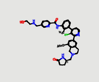 COc1cc(-c2nccc(-c3cccc(NC(=O)c4ccc(CNCCO)cn4)c3C)c2Cl)cc2c1CN(C[C@H]1CCC(=O)N1)CC2